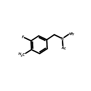 CCCN(Cc1ccc(C)c(F)c1)C(C)=O